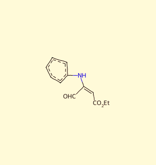 CCOC(=O)/C=C(\C=O)Nc1ccccc1